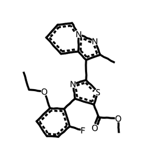 CCOc1cccc(F)c1-c1nc(-c2c(C)nn3ccccc23)sc1C(=O)OC